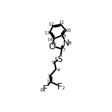 FC(F)=CCCSc1nc2ccccc2o1